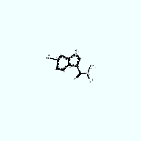 CN(C)C(=O)c1c[nH]c2cc(Br)ccc12